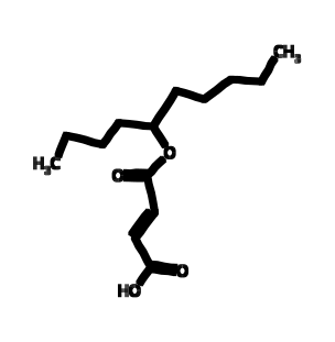 CCCCCC(CCCC)OC(=O)C=CC(=O)O